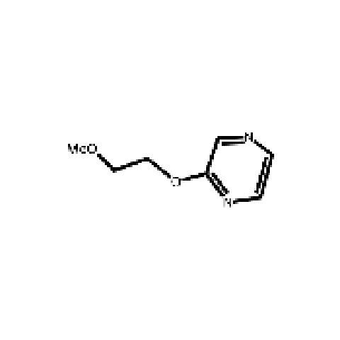 COCCOc1[c]nccn1